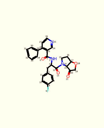 O=C(NC(Cc1ccc(F)cc1)C(=O)N1CCC2OCC(=O)C21)c1cnccc1-c1ccccc1